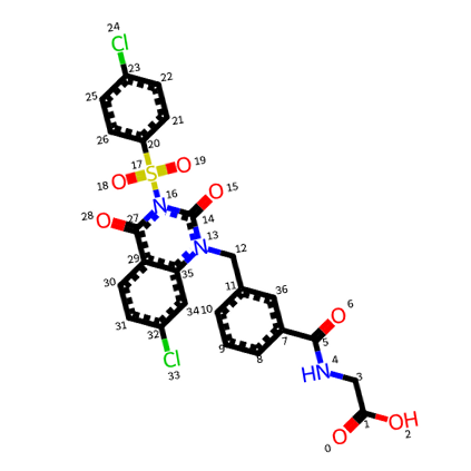 O=C(O)CNC(=O)c1cccc(Cn2c(=O)n(S(=O)(=O)c3ccc(Cl)cc3)c(=O)c3ccc(Cl)cc32)c1